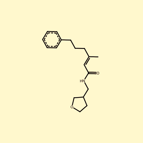 CC(=CC(=O)NCC1CCOC1)CCCc1ccccc1